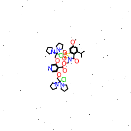 COc1cc(C(C)C)c2c(c1)S(=O)(=O)N(COC(=O)c1c(OCC(Cl)(N3CCCC3)N3CCCC3)cncc1OCC(Cl)(N1CCCC1)N1CCCC1)C2=O